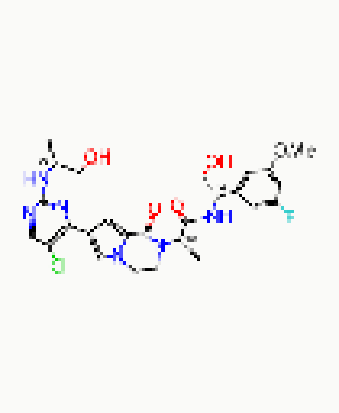 COc1cc(F)cc([C@@H](CO)NC(=O)[C@@H](C)N2CCn3cc(-c4nc(N[C@@H](C)CO)ncc4Cl)cc3C2=O)c1